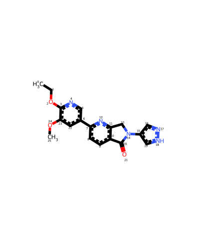 CCOc1ncc(-c2ccc3c(n2)CN(c2cn[nH]c2)C3=O)cc1OC